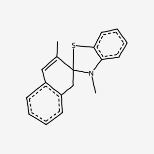 CC1=Cc2ccccc2CC12Sc1ccccc1N2C